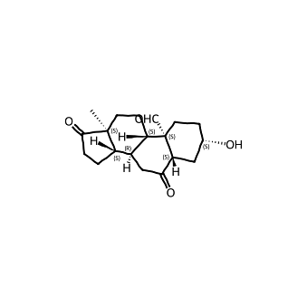 C[C@]12CC[C@H]3[C@@H](CC(=O)[C@H]4C[C@@H](O)CC[C@@]43C=O)[C@@H]1CCC2=O